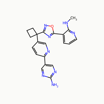 CNc1ncccc1-c1nc(C2(c3ccc(-c4cnc(N)nc4)nc3)CCC2)no1